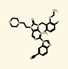 CCOc1c(F)ccc(C)c1Cn1c(=O)n(CCN2CCOCC2)c2cnc(-n3cnc4ccc(C#N)cc43)nc21